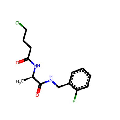 C[C@@H](NC(=O)CCCCl)C(=O)NCc1ccccc1F